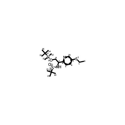 CCSc1ccc(C(CO[Si](C)(C)C(C)(C)C)N[S@@+]([O-])C(C)(C)C)nc1